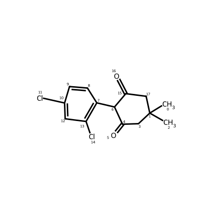 CC1(C)CC(=O)C(c2ccc(Cl)cc2Cl)C(=O)C1